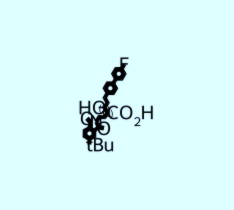 CC(C)(C)c1ccc2c(c1)C(=O)N(CC[C@H](C(=O)O)[C@@H](O)CCc1ccc(-c3ccc(F)cc3)cc1)C2=O